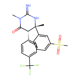 CN1C(=N)N[C@](C)(c2cccc(S(C)(=O)=O)c2)[C@H](c2ccc(C(F)(F)F)cc2)C1=O